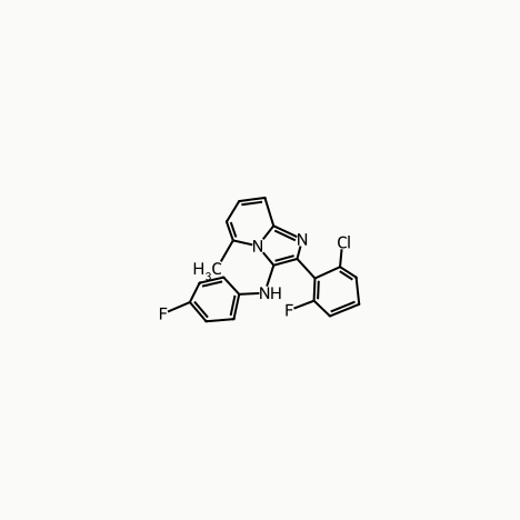 Cc1cccc2nc(-c3c(F)cccc3Cl)c(Nc3ccc(F)cc3)n12